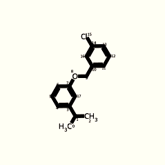 CC(C)c1cccc(OCc2cccc(Cl)c2)c1